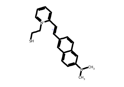 CN(C)c1ccc2cc(/C=C/c3cccc[n+]3CCS)ccc2c1